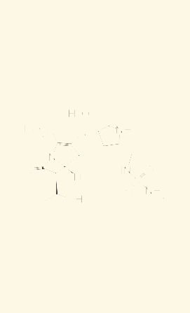 CC(O)[C@H]1C(=O)N2C(C(=O)O)=C(S[C@@H]3CN[C@H](CNS(N)(=O)=O)C3)[C@H](C)[C@H]12.O